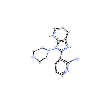 Nc1ncccc1-c1nc2cccnc2n1N1CCNCC1